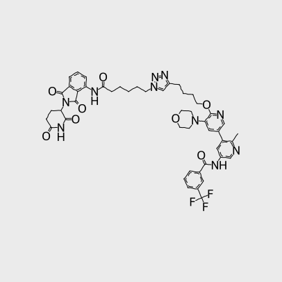 Cc1ncc(NC(=O)c2cccc(C(F)(F)F)c2)cc1-c1cnc(OCCCCc2cn(CCCCCC(=O)Nc3cccc4c3C(=O)N(C3CCC(=O)NC3=O)C4=O)nn2)c(N2CCOCC2)c1